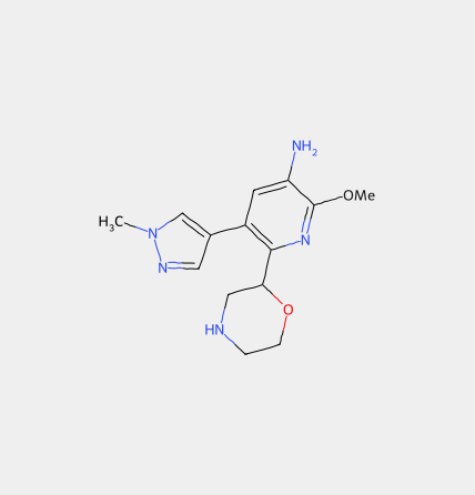 COc1nc(C2CNCCO2)c(-c2cnn(C)c2)cc1N